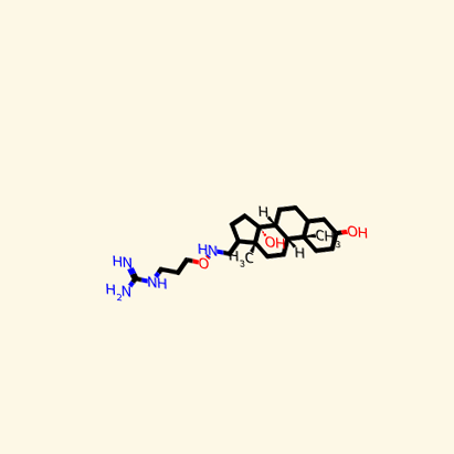 C[C@]12CCC(O)CC1CC[C@@H]1[C@H]2CC[C@]2(C)C(CNOCCCNC(=N)N)CC[C@@]12O